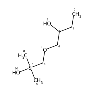 CCC(O)COC[Si](C)(C)O